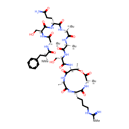 CC[C@H](C)[C@H](NC(=O)[C@@H](Cc1ccccc1)NC)C(=O)N[C@@H](CO)C(=O)N[C@H](CCC(N)=O)C(=O)N[C@@H](C(=O)N[C@H](C(=O)N[C@@H](CO)C(=O)N[C@H]1C(=O)N[C@@H](C)C(=O)N[C@@H](CCCCNC(=N)NC)C(=O)N[C@@H]([C@@H](C)CC)C(=O)O[C@H]1C)[C@@H](C)CC)[C@@H](C)CC